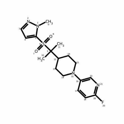 Cn1nccc1S(=O)(=O)C(C)(C)C1CCN(c2ccc(F)nc2)CC1